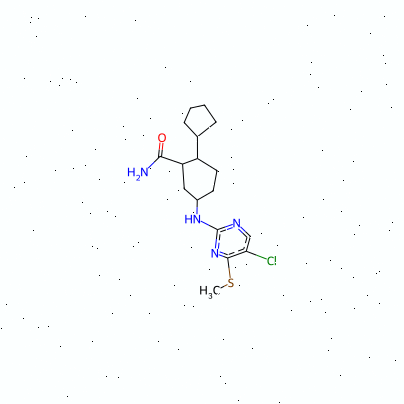 CSc1nc(NC2CCC(C3CCCC3)C(C(N)=O)C2)ncc1Cl